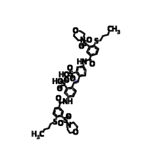 CCCCSc1ccc(C(=O)Nc2ccc(/C=C/c3ccc(NC(=O)c4ccc(SCCCC)c(S(=O)(=O)N5CCOCC5)c4)cc3S(=O)(=O)O)c(S(=O)(=O)O)c2)cc1S(=O)(=O)N1CCOCC1